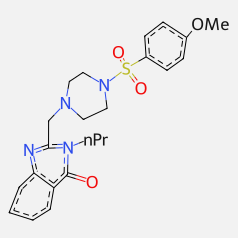 CCCn1c(CN2CCN(S(=O)(=O)c3ccc(OC)cc3)CC2)nc2ccccc2c1=O